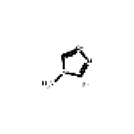 NN1C=N[N+]=C1.[Br-]